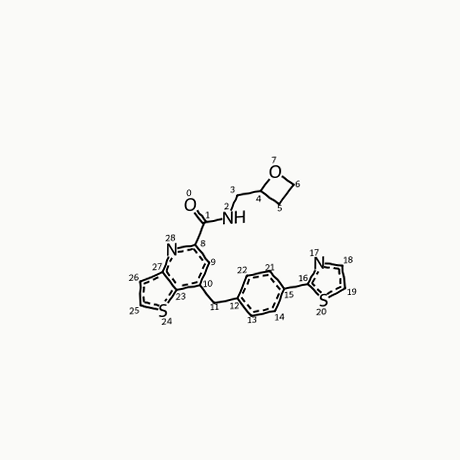 O=C(NCC1CCO1)c1cc(Cc2ccc(-c3nccs3)cc2)c2sccc2n1